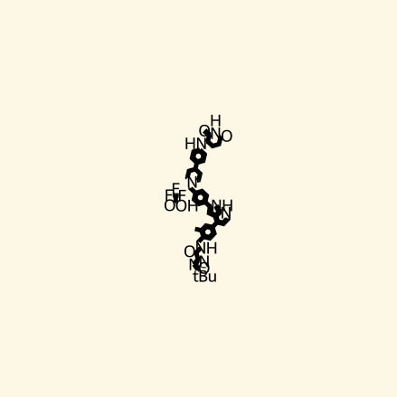 Cc1cc(-c2ccnc3[nH]c(-c4ccc(CN5CCC(c6ccc(NC7CCC(=O)NC7=O)cc6)CC5)cc4)cc23)ccc1CNC(=O)c1noc(C(C)(C)C)n1.O=C(O)C(F)(F)F